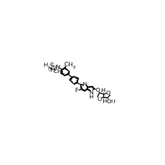 Cc1cc(-c2ccc(-c3nc4cc(O[C@@H]5CO[C@H]6[C@@H]5OC[C@H]6O)[nH]c4cc3F)cc2)ccc1N=S(C)(C)=O